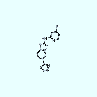 CCc1ccnc(Nc2nc3ccc(-c4nncs4)cc3s2)c1